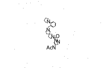 CC(=O)N(C)c1cnn(C(=O)N2CCC3(CCN(Cc4ccccc4N4CCCC4)C3)C2)c1